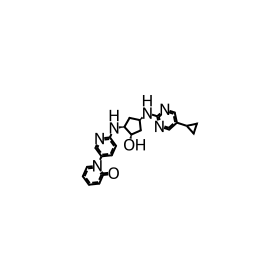 O=c1ccccn1-c1ccc(N[C@H]2C[C@@H](Nc3ncc(C4CC4)cn3)C[C@H]2O)nc1